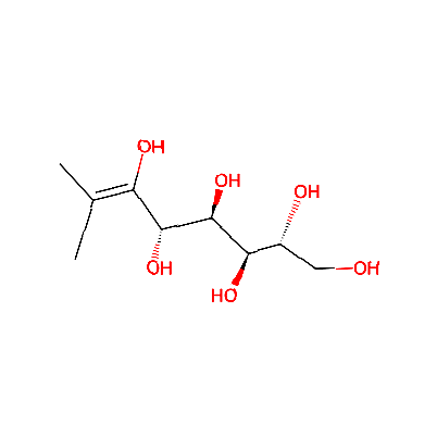 CC(C)=C(O)[C@@H](O)[C@@H](O)[C@H](O)[C@H](O)CO